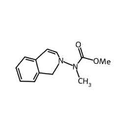 COC(=O)N(C)N1C=Cc2ccccc2C1